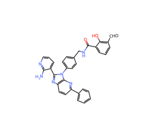 Nc1ncccc1-c1nc2ccc(-c3ccccc3)nc2n1-c1ccc(CNC(=O)c2cccc(C=O)c2O)cc1